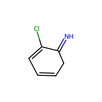 N=C1CC=CC=C1Cl